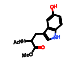 COC(=O)C(Cc1c[nH]c2ccc(O)cc12)NC(C)=O